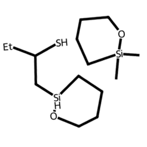 CCC(S)C[SiH]1CCCCO1.C[Si]1(C)CCCCO1